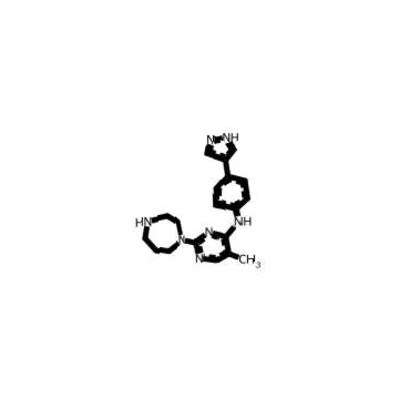 Cc1cnc(N2CCCNCC2)nc1Nc1ccc(-c2cn[nH]c2)cc1